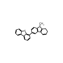 Cn1c2c(c3cc(-c4cccc5c4sc4ccccc45)ccc31)C=CCC2